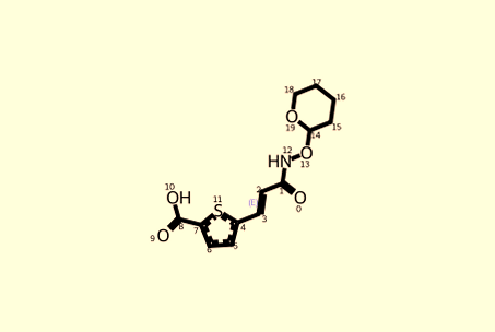 O=C(/C=C/c1ccc(C(=O)O)s1)NOC1CCCCO1